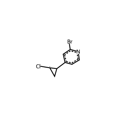 Cl[C]1CC1c1ccnc(Br)c1